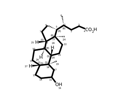 C[C@H](CCC(=O)O)[C@H]1CC[C@H]2[C@@H]3CC[C@H]4CCC(O)C[C@]4(C)[C@H]3CC[C@]12C